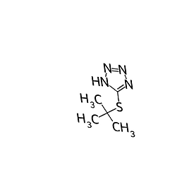 CC(C)(C)Sc1nnn[nH]1